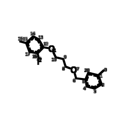 Cc1cccc(COCCCOc2ccc(C)cc2F)c1